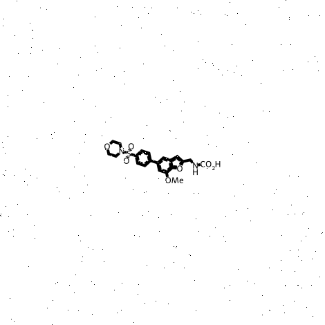 COc1cc(-c2ccc(S(=O)(=O)N3CCOCC3)cc2)cc2cc(CNC(=O)O)oc12